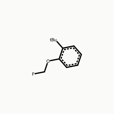 CC(C)(C)c1ccccc1OCF